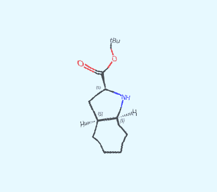 CC(C)(C)OC(=O)[C@@H]1C[C@@H]2CCCC[C@@H]2N1